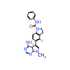 CN1C=C(c2ccc3c(c2F)CCN3C(=O)Nc2ccccc2)C2C(N)=NC=NC21